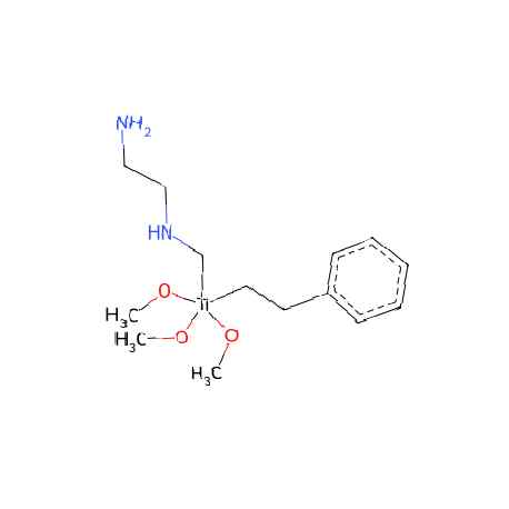 C[O][Ti]([CH2]Cc1ccccc1)([CH2]NCCN)([O]C)[O]C